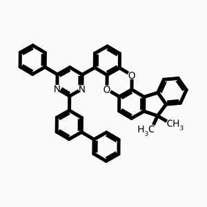 CC1(C)c2ccccc2-c2c1ccc1c2Oc2cccc(-c3cc(-c4ccccc4)nc(-c4cccc(-c5ccccc5)c4)n3)c2O1